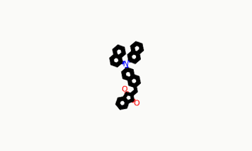 O=C1C(=Cc2ccc3cc(N(c4ccc5ccccc5c4)c4cccc5ccccc45)ccc3c2)C(=O)c2ccccc21